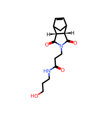 O=C(CCN1C(=O)[C@@H]2C3C=CC(C3)[C@@H]2C1=O)NCCCO